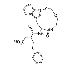 O=C(O)C[C@@H](CCc1ccccc1)C(=O)NC1Cc2cn(c3ccccc23)CCOCCNC1=O